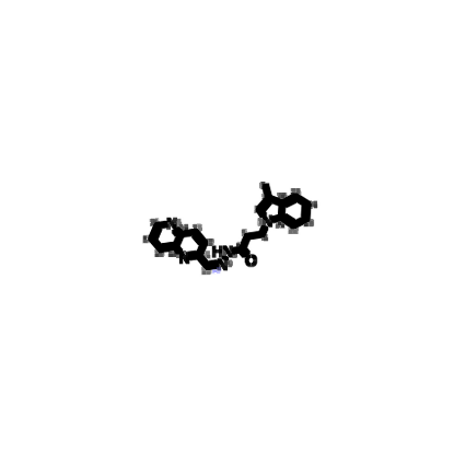 Cc1cn(CCC(=O)N/N=C\c2ccc3ncccc3n2)c2ccccc12